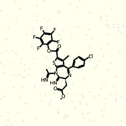 COC(=O)C[C@@H]1N=C(c2ccc(Cl)cc2)c2c(sc(C(=O)Oc3c(F)c(F)c(F)c(F)c3F)c2C)N(C(C)=N)C1=N